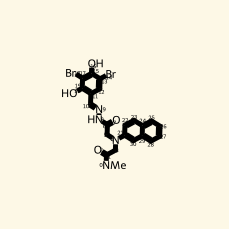 CNC(=O)CN(CC(=O)N/N=C/c1cc(Br)c(O)c(Br)c1O)c1ccc2ccccc2c1